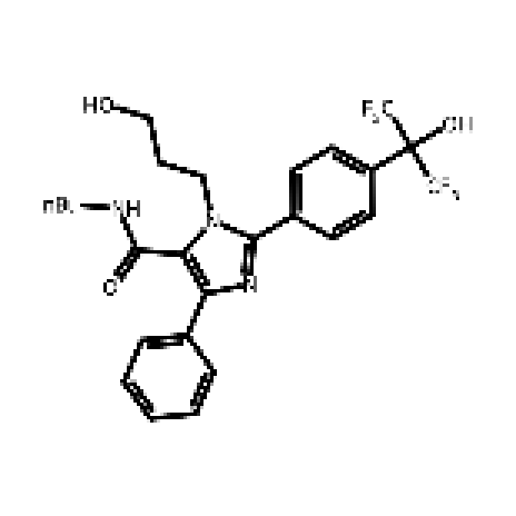 CCCCNC(=O)c1c(-c2ccccc2)nc(-c2ccc(C(O)(C(F)(F)F)C(F)(F)F)cc2)n1CCCO